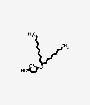 CCCCCCCCCC(CCCCCCCC)OC(=O)/C=C\C(=O)O